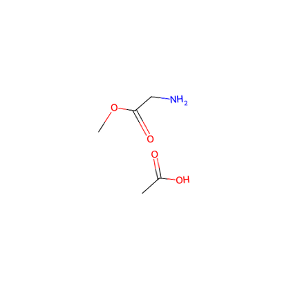 CC(=O)O.COC(=O)CN